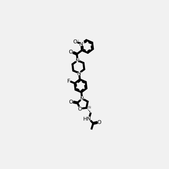 CC(=O)NC[C@H]1CN(c2ccc(N3CCN(C(=O)c4cccc[n+]4[O-])CC3)c(F)c2)C(=O)O1